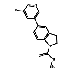 CC(C)(C)NC(=O)N1CCc2cc(-c3cncc(F)c3)ccc21